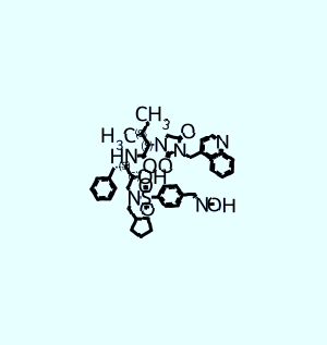 CC[C@H](C)[C@@H](C(=O)N[C@@H](Cc1ccccc1)[C@@H](O)CN(CC1CCCC1)S(=O)(=O)c1ccc(C=NO)cc1)N1CC(=O)N(Cc2ccnc3ccccc23)C1=O